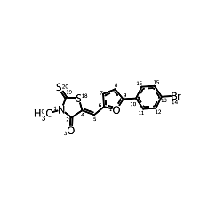 CN1C(=O)C(=Cc2ccc(-c3ccc(Br)cc3)o2)SC1=S